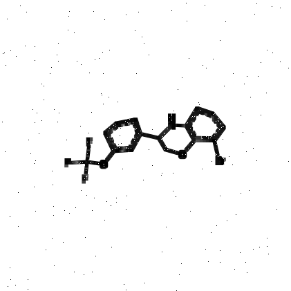 FC(F)(F)Oc1cccc(C2COc3c(Br)cccc3N2)c1